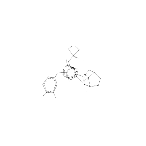 Cc1cc(N2C[C@H]3CC[C@@H](C2)[C@@H]3Nc2nc(Oc3ccc(F)c(Cl)c3)n(CC3(C)COC3)n2)ncn1